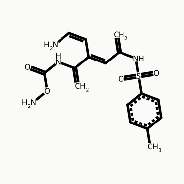 C=C(/C=C(\C=C/N)C(=C)NC(=O)ON)NS(=O)(=O)c1ccc(C)cc1